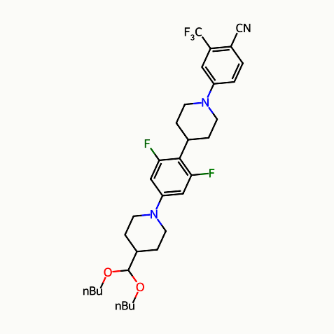 CCCCOC(OCCCC)C1CCN(c2cc(F)c(C3CCN(c4ccc(C#N)c(C(F)(F)F)c4)CC3)c(F)c2)CC1